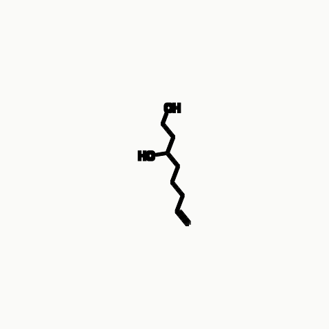 C=CCCCC(O)CCO